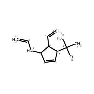 C=CNC1C=CN(C(C)(C)CC)C1C=C